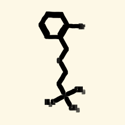 C[Si](C)(C)CCOCc1[c]cccc1Br